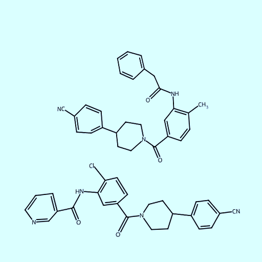 Cc1ccc(C(=O)N2CCC(c3ccc(C#N)cc3)CC2)cc1NC(=O)Cc1ccccc1.N#Cc1ccc(C2CCN(C(=O)c3ccc(Cl)c(NC(=O)c4cccnc4)c3)CC2)cc1